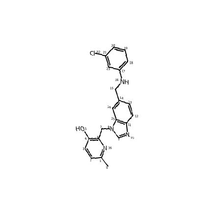 Cc1ccc(O)c(Cn2cnc3ccc(CNc4cccc(Cl)c4)cc32)n1